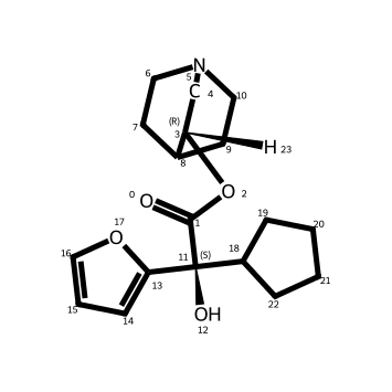 O=C(O[C@H]1CN2CCC1CC2)[C@@](O)(c1ccco1)C1CCCC1